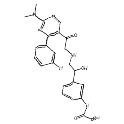 CN(C)c1ncc(C(=O)CNCC(O)c2cccc(OC(=O)C(C)(C)C)c2)c(-c2cccc(Cl)c2)n1